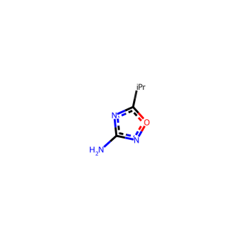 CC(C)c1nc(N)no1